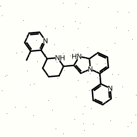 Cc1cccnc1C1CCCC(C2=CN3C(c4ccccn4)=CC=CC3N2)N1